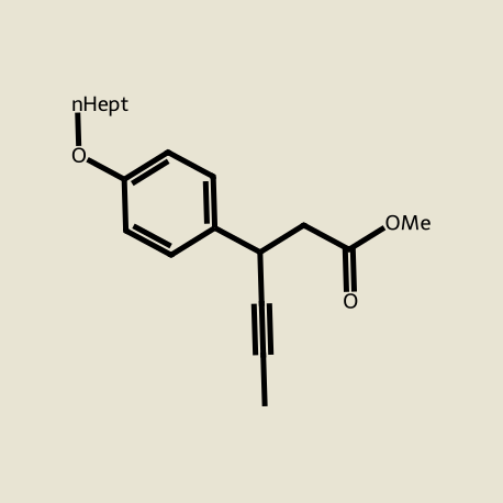 CC#CC(CC(=O)OC)c1ccc(OCCCCCCC)cc1